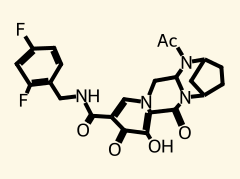 CC(=O)N1C2CCC(C2)N2C(=O)c3c(O)c(=O)c(C(=O)NCc4ccc(F)cc4F)cn3CC12